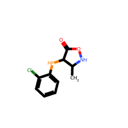 CC1NOC(=O)C1Pc1ccccc1Cl